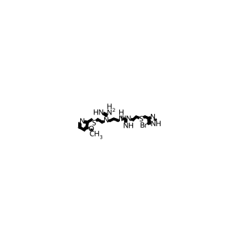 COc1cccnc1CSCCN(CCCNC(=N)NCCSCc1nc[nH]c1Br)C(=N)N